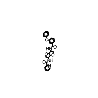 O=C(NC1COC2C(NC(=O)c3ccccn3)COC12)c1cccc(Oc2ccccc2)c1